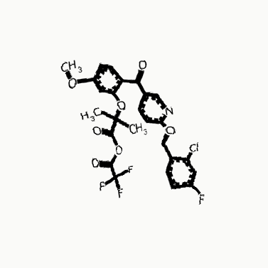 COc1ccc(C(=O)c2ccc(OCc3ccc(F)cc3Cl)nc2)c(OC(C)(C)C(=O)OC(=O)C(F)(F)F)c1